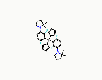 CC1(C)CCCN1c1ccc(F)[c]([Ti]([c]2c(F)ccc(N3CCCC3(C)C)c2F)([CH]2C=CC=C2)[CH]2C=CC=C2)c1F